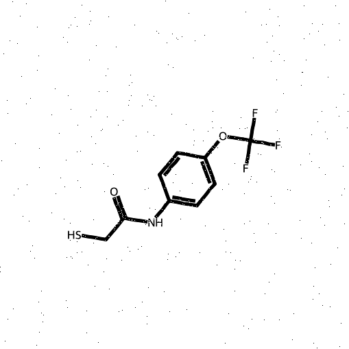 O=C(CS)Nc1ccc(OC(F)(F)F)cc1